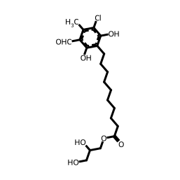 Cc1c(Cl)c(O)c(CCCCCCCCCC(=O)OCC(O)CO)c(O)c1C=O